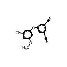 COc1cc(Cl)cc(Oc2cc(C#N)cc(C#N)c2)c1